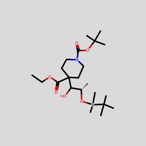 CCOC(=O)C1(C(O)[C@H](C)O[Si](C)(C)C(C)(C)C)CCN(C(=O)OC(C)(C)C)CC1